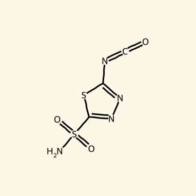 NS(=O)(=O)c1nnc(N=C=O)s1